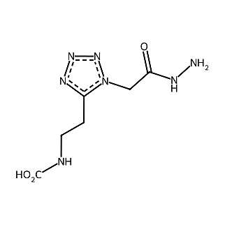 NNC(=O)Cn1nnnc1CCNC(=O)O